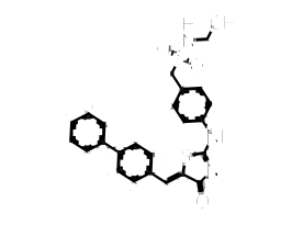 CCNS(=O)(=O)Cc1ccc(NC2=NC(=O)C(=Cc3ccc(-c4ccccc4)cc3)S2)cc1